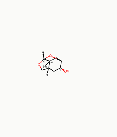 O[C@H]1C[C@@H]2CO[C@@H]3OC1C[C@H]23